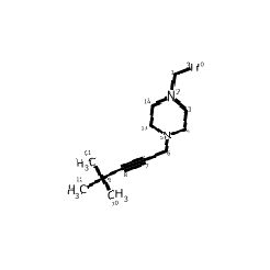 [3H]CN1CCN(CC#CC(C)(C)C)CC1